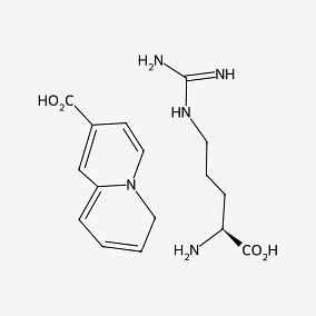 N=C(N)NCCC[C@H](N)C(=O)O.O=C(O)C1=CC2=CC=CCN2C=C1